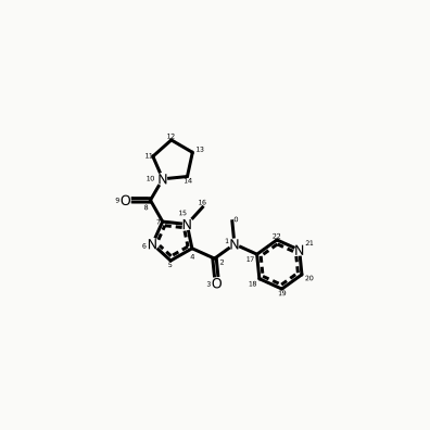 CN(C(=O)c1cnc(C(=O)N2CCCC2)n1C)c1cccnc1